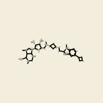 CN1CNC2C(C1N)N(C)CN2[C@@H]1O[C@H](CN(C)[C@H]2C[C@@H](CCC3Nc4cc(C5CCC5)ccc4N3C)C2)[C@@H](O)[C@H]1O